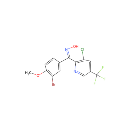 COc1ccc(C(=NO)c2ncc(C(F)(F)F)cc2Cl)cc1Br